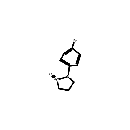 O=[13C]1CCCN1c1ccc(Br)cc1